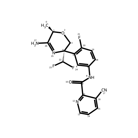 C[C@H]1OC[C@](c2cc(NC(=O)c3ncccc3C#N)ccc2F)(C(F)F)N=C1N